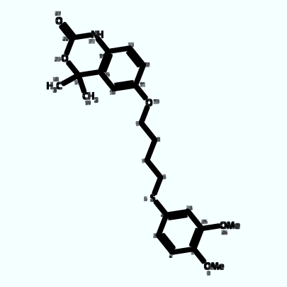 COc1ccc(SCCCCOc2ccc3c(c2)C(C)(C)OC(=O)N3)cc1OC